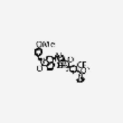 COc1ccc(CN2C(=O)c3cccc4c(-n5ncc(C(=O)Nc6ccc(C(=O)N7CCCC7)c(C(F)(F)F)c6)c5C(F)(F)F)ccc2c34)cc1